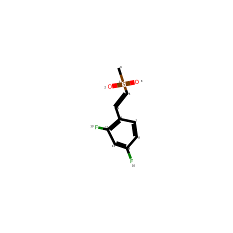 CS(=O)(=O)C=Cc1ccc(F)cc1F